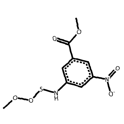 COOSNc1cc(C(=O)OC)cc([N+](=O)[O-])c1